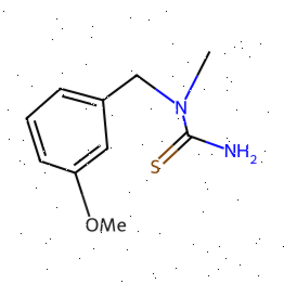 COc1cccc(CN(C)C(N)=S)c1